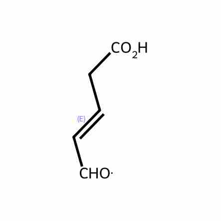 O=[C]/C=C/CC(=O)O